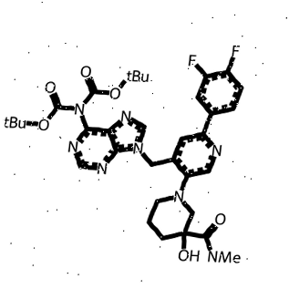 CNC(=O)C1(O)CCCN(c2cnc(-c3ccc(F)c(F)c3)cc2Cn2cnc3c(N(C(=O)OC(C)(C)C)C(=O)OC(C)(C)C)ncnc32)C1